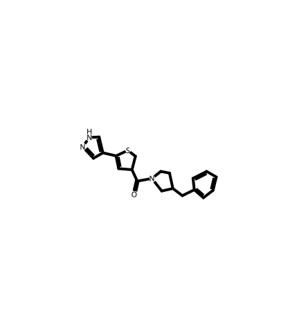 O=C(C1C=C(c2cn[nH]c2)SC1)N1CCC(Cc2ccccc2)C1